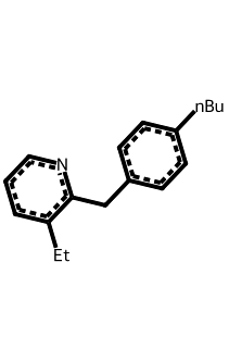 CCCCc1ccc(Cc2ncccc2CC)cc1